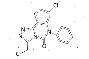 O=c1n(-c2ccccc2)c2cc(Cl)ccc2c2nnc(CCl)n12